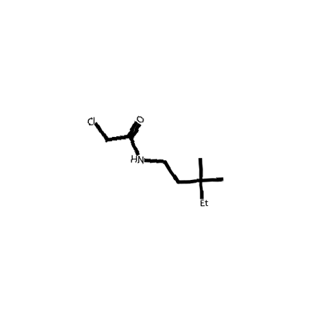 CCC(C)(C)CCNC(=O)CCl